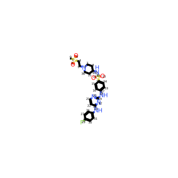 CS(=O)(=O)CCN1CCC(NS(=O)(=O)c2ccc(Nc3nccc(Nc4ccc(F)cc4)n3)cc2)CC1